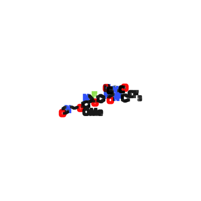 COc1cc2c(Oc3ccc(NC(=O)C4=NN(c5cccc(C(F)(F)F)c5)C(=C=O)N(C)C4=C=O)cc3F)ccnc2cc1OCCCN1CCOCC1